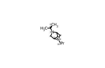 C=C(C)N1CC2CC1CN2C(C)C